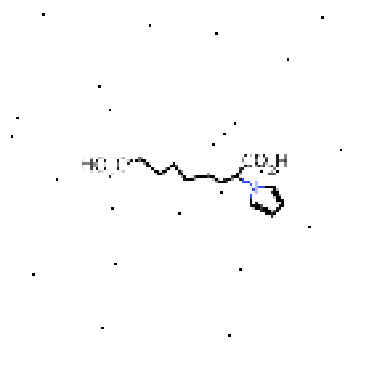 O=C(O)CCCCCCC(C(=O)O)n1cccc1